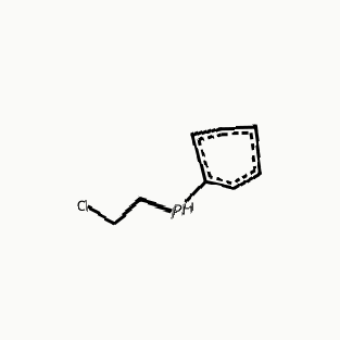 ClCCPc1ccccc1